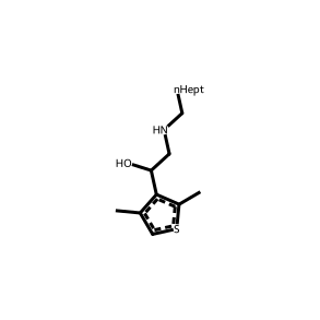 CCCCCCCCNCC(O)c1c(C)csc1C